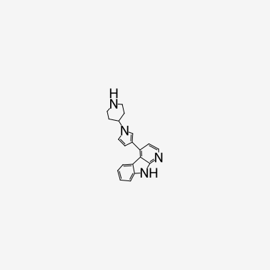 c1ccc2c(c1)[nH]c1nccc(-c3ccn(C4CCNCC4)c3)c12